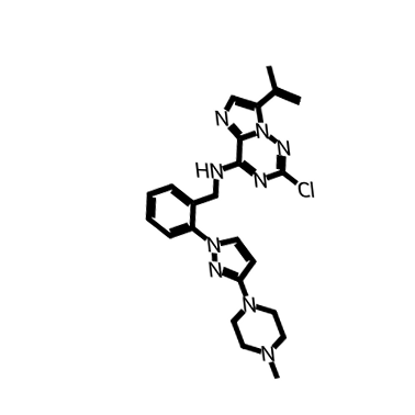 C=C(C)c1cnc2c(NCc3ccccc3-n3ccc(N4CCN(C)CC4)n3)nc(Cl)nn12